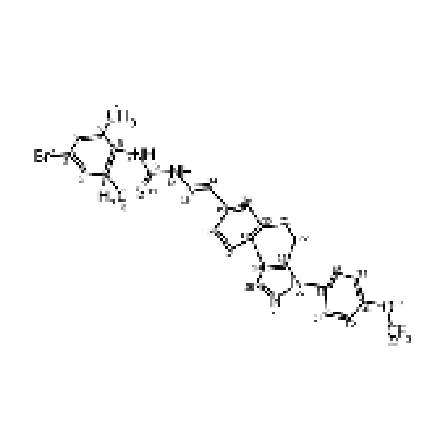 Cc1cc(Br)cc(C)c1NC(=S)N/N=C/c1ccc2c(c1)CCc1c-2cnn1-c1ccc(OC(F)(F)F)cc1